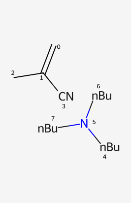 C=C(C)C#N.CCCCN(CCCC)CCCC